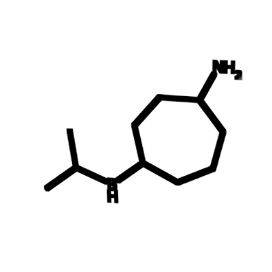 CC(C)BC1CCCC(N)CC1